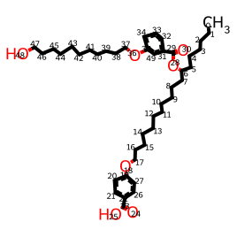 CCCCCCC(CCCCCCCCCCCOc1ccc(C(=O)O)cc1)OC(=O)c1cccc(OCCCCCCCCCCCO)c1